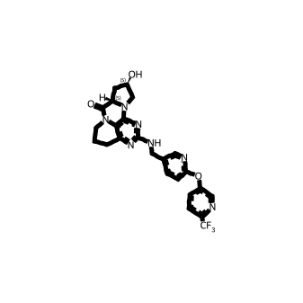 O=C1[C@@H]2C[C@H](O)CN2c2nc(NCc3ccc(Oc4ccc(C(F)(F)F)nc4)nc3)nc3c2N1CCC3